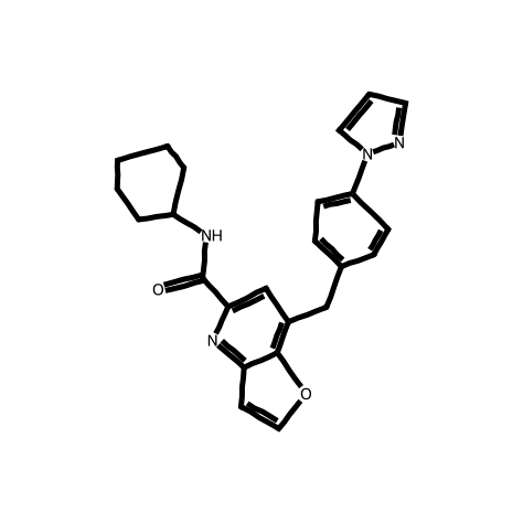 O=C(NC1CCCCC1)c1cc(Cc2ccc(-n3cccn3)cc2)c2occc2n1